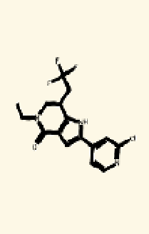 CCN1CC(CC(F)(F)F)c2[nH]c(-c3ccnc(Cl)c3)cc2C1=O